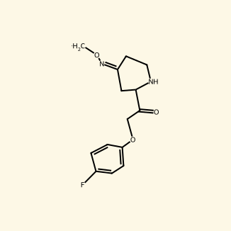 [CH2]ON=C1CCNC(C(=O)COc2ccc(F)cc2)C1